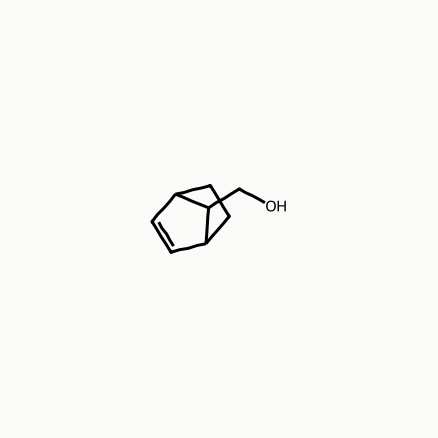 OCC1C2C=CC1CC2